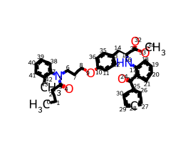 CCCC(=O)N(CCCOc1ccc(C[C@H](Nc2ccccc2C(=O)c2ccccc2)C(=O)OC)cc1)c1ccccc1C